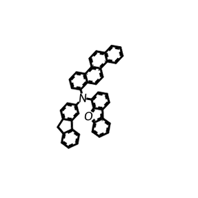 c1ccc2c(c1)Cc1ccc(N(c3cccc4c3ccc3c5ccccc5ccc43)c3cccc4c3oc3ccccc34)cc1-2